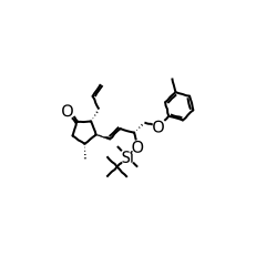 C=CC[C@H]1C(=O)C[C@@H](C)[C@@H]1/C=C/[C@H](COc1cccc(C)c1)O[Si](C)(C)C(C)(C)C